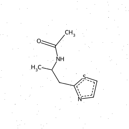 CC(=O)NC(C)Cc1nccs1